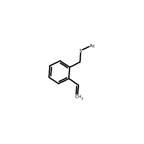 C=Cc1ccccc1CSC(C)=O